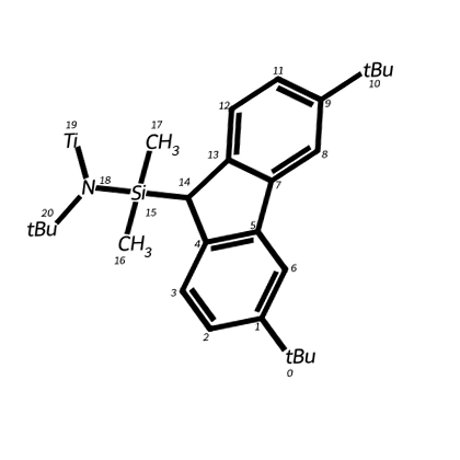 CC(C)(C)c1ccc2c(c1)-c1cc(C(C)(C)C)ccc1C2[Si](C)(C)[N]([Ti])C(C)(C)C